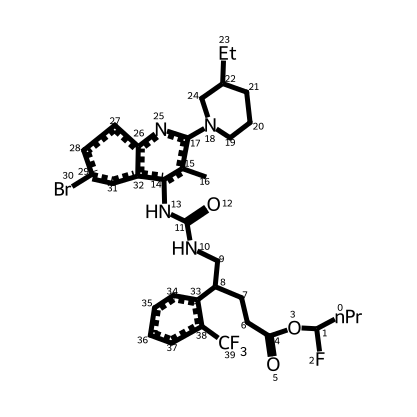 CCCC(F)OC(=O)CCC(CNC(=O)Nc1c(C)c(N2CCCC(CC)C2)nc2ccc(Br)cc12)c1ccccc1C(F)(F)F